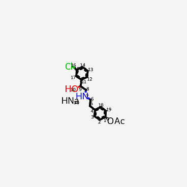 CC(=O)Oc1ccc(CCNCC(O)c2cccc(Cl)c2)cc1.[NaH]